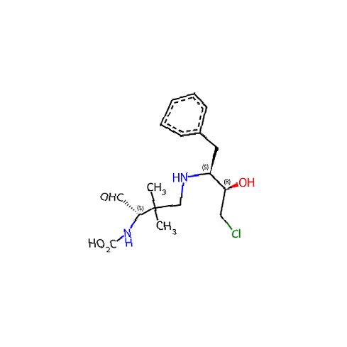 CC(C)(CN[C@@H](Cc1ccccc1)[C@@H](O)CCl)[C@@H](C=O)NC(=O)O